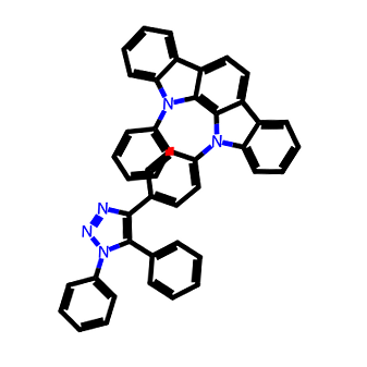 c1ccc(-c2c(-c3ccc(-n4c5ccccc5c5ccc6c7ccccc7n(-c7ccccc7)c6c54)cc3)nnn2-c2ccccc2)cc1